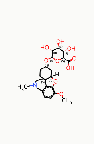 COc1ccc2c3c1O[C@H]1C[C@@H](O[C@@H]4O[C@H](C(=O)O)[C@@H](O)[C@H](O)[C@H]4O)C=C[C@@]31CCN(C)C2